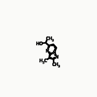 Cc1nn2ccc(C(C)O)nc2c1C